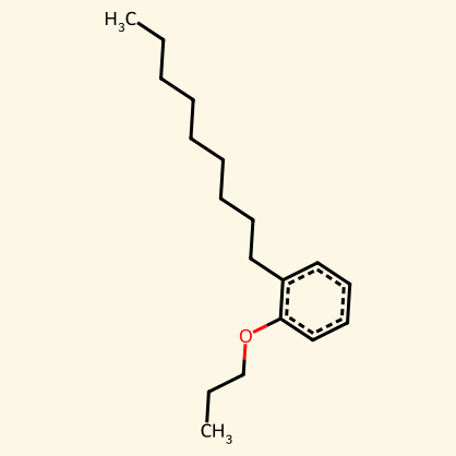 CCCCCCCCCc1ccccc1OCCC